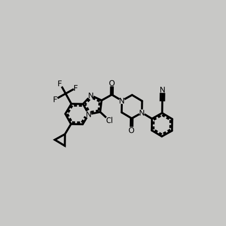 N#Cc1ccccc1N1CCN(C(=O)c2nc3c(C(F)(F)F)cc(C4CC4)cn3c2Cl)CC1=O